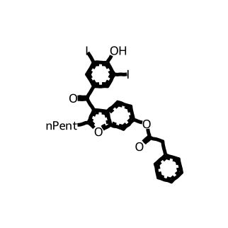 CCCCCc1oc2cc(OC(=O)Cc3ccccc3)ccc2c1C(=O)c1cc(I)c(O)c(I)c1